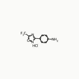 Cl.Nc1ccc(-c2noc(C(F)(F)F)n2)cc1